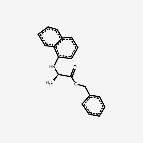 C[C@@H](Nc1cccc2ccccc12)C(=O)OCc1ccccc1